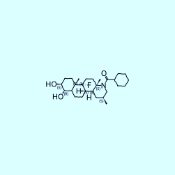 C[C@H]1C[C@H]2[C@@H]3CCC4[C@@H](O)[C@@H](O)CC[C@]4(C)[C@@]3(F)CC[C@]2(C)N(C(=O)C2CCCCC2)C1